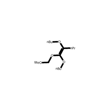 CCCCOC(CCC)=C(OCCCC)OCOC